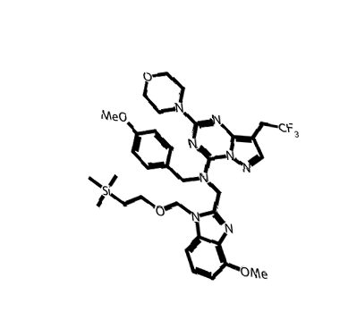 COc1ccc(CN(Cc2nc3c(OC)cccc3n2COCC[Si](C)(C)C)c2nc(N3CCOCC3)nc3c(CC(F)(F)F)cnn23)cc1